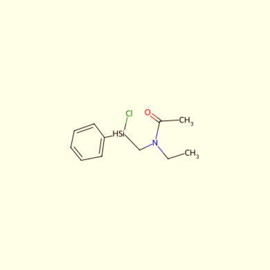 CCN(C[SiH](Cl)c1ccccc1)C(C)=O